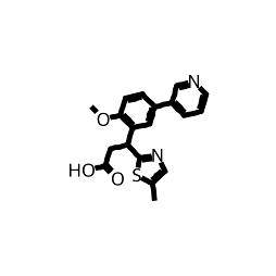 COc1ccc(-c2cccnc2)cc1C(CC(=O)O)c1ncc(C)s1